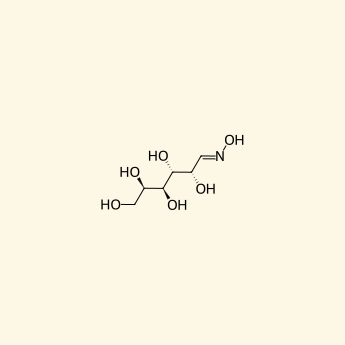 OC[C@@H](O)[C@H](O)[C@H](O)[C@@H](O)/C=N/O